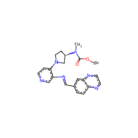 CN(C(=O)OC(C)(C)C)[C@@H]1CCN(c2ccncc2/N=C/c2ccc3nccnc3c2)C1